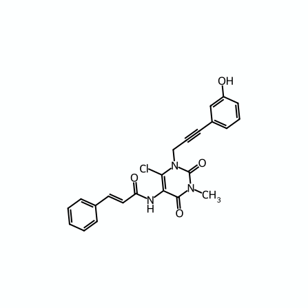 Cn1c(=O)c(NC(=O)C=Cc2ccccc2)c(Cl)n(CC#Cc2cccc(O)c2)c1=O